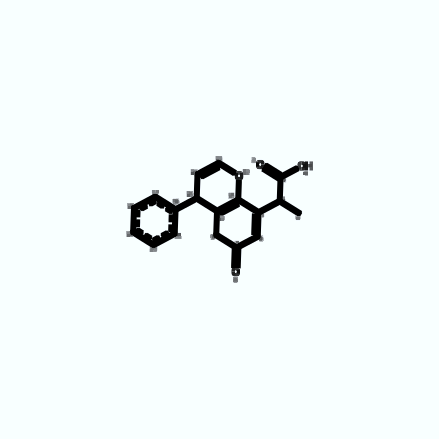 CC(C(=O)O)C1=CC(=O)CC2=C1OC=CC2c1ccccc1